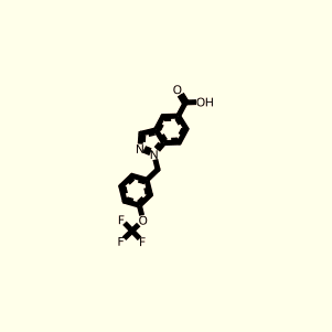 O=C(O)c1ccc2c(cnn2Cc2cccc(OC(F)(F)F)c2)c1